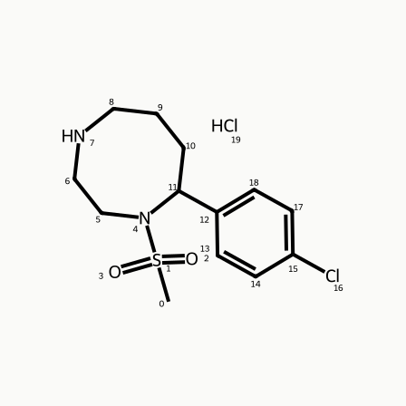 CS(=O)(=O)N1CCNCCCC1c1ccc(Cl)cc1.Cl